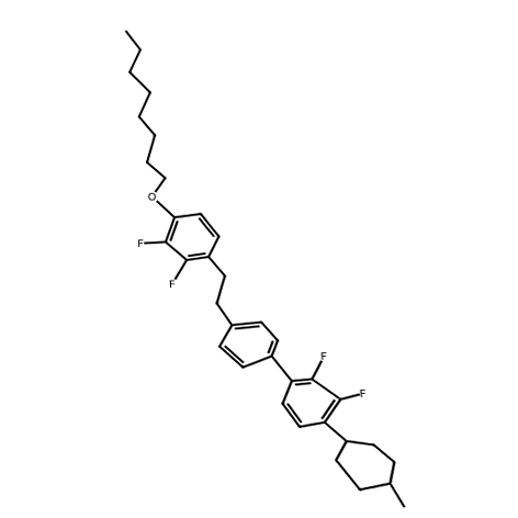 CCCCCCCCOc1ccc(CCc2ccc(-c3ccc(C4CCC(C)CC4)c(F)c3F)cc2)c(F)c1F